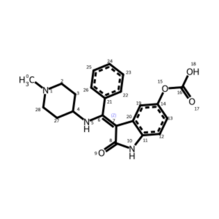 CN1CCC(N/C(=C2\C(=O)Nc3ccc(OC(=O)O)cc32)c2ccccc2)CC1